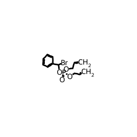 C=CCOP(=O)(OCC=C)OC(Br)c1ccccc1